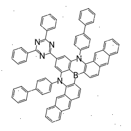 c1ccc(-c2ccc(N3c4cc(-c5nc(-c6ccccc6)nc(-c6ccccc6)n5)cc5c4B(c4ccc6cc7ccccc7cc6c43)c3ccc4cc6ccccc6cc4c3N5c3ccc(-c4ccccc4)cc3)cc2)cc1